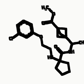 COC(=O)C12CC(C(C)NC(=O)C3(NCCOc4cccc(Cl)c4)CCCC3)(C1)C2